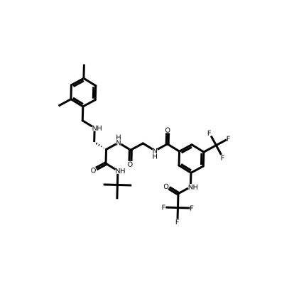 Cc1ccc(CNC[C@H](NC(=O)CNC(=O)c2cc(NC(=O)C(F)(F)F)cc(C(F)(F)F)c2)C(=O)NC(C)(C)C)c(C)c1